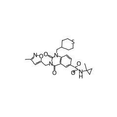 Cc1cc(Cn2c(=O)c3cc(S(=O)(=O)NC4(C)CC4)ccc3n(CC3CCSCC3)c2=O)on1